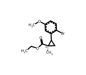 CCOC(=O)[C@]1(C)CC1c1cc(OC)ccc1Br